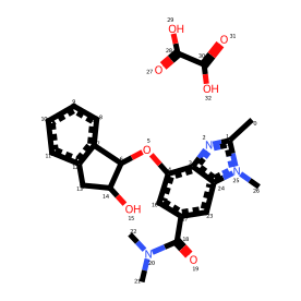 Cc1nc2c(OC3c4ccccc4CC3O)cc(C(=O)N(C)C)cc2n1C.O=C(O)C(=O)O